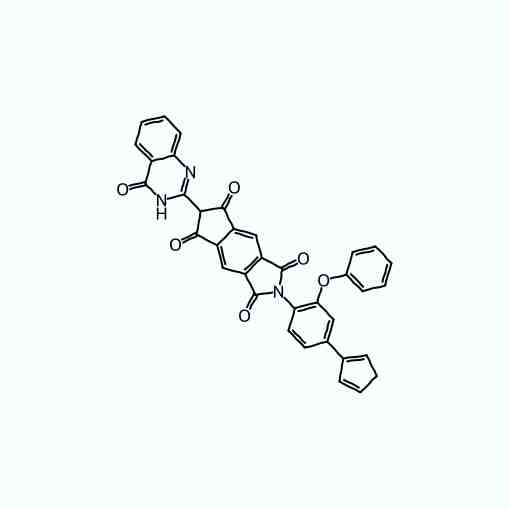 O=C1c2cc3c(cc2C(=O)C1c1nc2ccccc2c(=O)[nH]1)C(=O)N(c1ccc(C2=CCC=C2)cc1Oc1ccccc1)C3=O